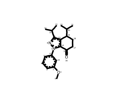 COc1cccc(-n2nc(C(C)C)c3c2C(=O)CCC3C(C)C)c1